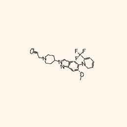 COc1cc2nn(C3CCN(CC=O)CC3)cc2cc1N1CC=CC=C1C(F)(F)F